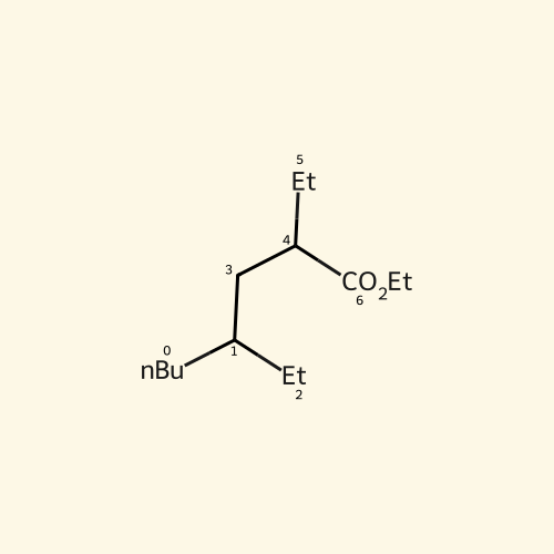 CCCCC(CC)CC(CC)C(=O)OCC